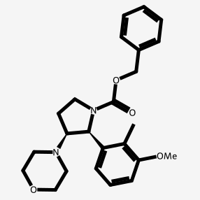 COc1cccc([C@H]2[C@@H](N3CCOCC3)CCN2C(=O)OCc2ccccc2)c1C